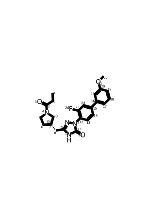 CCC(=O)N1CC[C@@H](Cc2nn(-c3ccc(-c4cccc(OC)c4)cc3F)c(=O)[nH]2)C1